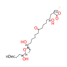 CCCCCCCCCCCC[C@@H](O)[C@H]1CC[C@H]([C@H](O)CCCCCC(=O)CCCC[C@@H](O)CC2=C[C@H](C)OC2=O)O1